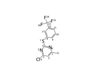 Cc1cc(Cl)nc(Sc2cccc(C(F)(F)F)c2)n1